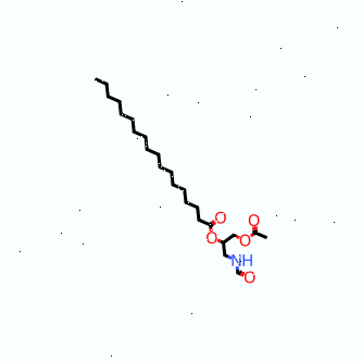 CCCCCCCCCCCCCCCCCC(=O)OC(CNC=O)COC(C)=O